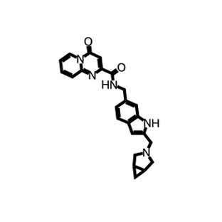 O=C(NCc1ccc2cc(CN3CC4CC4C3)[nH]c2c1)c1cc(=O)n2ccccc2n1